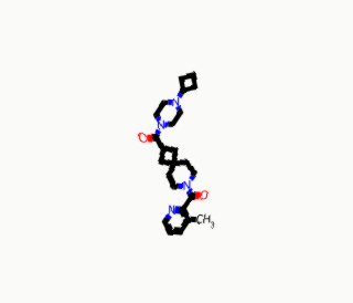 Cc1cccnc1C(=O)N1CCC2(CC1)CC(C(=O)N1CCN(C3CCC3)CC1)C2